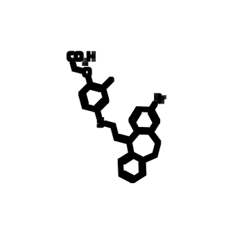 Cc1cc(SCC=C2c3ccccc3CCc3cc(Br)ccc32)ccc1OCC(=O)O